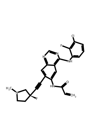 C=CC(=O)Nc1cc2c(Nc3cccc(Cl)c3F)ncnc2cc1C#C[C@]1(F)CCN(C)C1